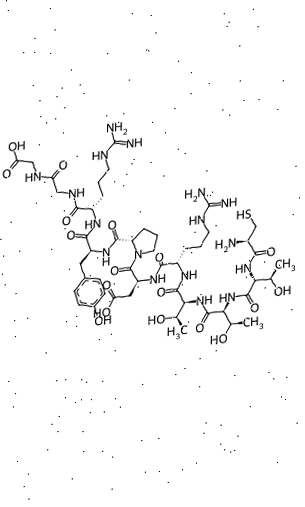 C[C@@H](O)[C@H](NC(=O)[C@@H](NC(=O)[C@@H](NC(=O)[C@@H](N)CS)[C@@H](C)O)[C@@H](C)O)C(=O)N[C@@H](CCCNC(=N)N)C(=O)N[C@@H](CC(=O)O)C(=O)N1CCC[C@H]1C(=O)N[C@@H](Cc1ccc(O)cc1)C(=O)N[C@@H](CCCNC(=N)N)C(=O)NCC(=O)NCC(=O)O